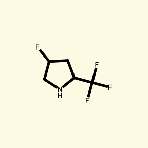 FC1CNC(C(F)(F)F)C1